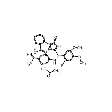 CC(=O)O.COc1cc(F)c([C@H](Nc2ccc(C(=N)N)cc2)c2nn(-c3ccccc3C(=O)O)c(=O)[nH]2)cc1OC